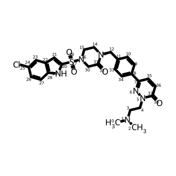 CN(C)CCn1nc(-c2ccc(CN3CCN(S(=O)(=O)c4cc5cc(Cl)ccc5[nH]4)CC3=O)cc2)ccc1=O